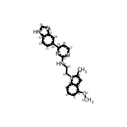 COc1cccc2c1cc(C)n2CCNc1nccc(-c2ccc3[nH]cnc3c2)n1